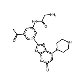 CC(=O)c1cc(NC(=O)CN)cc(-c2nn3c(N4CCNCC4)cc(=O)nc3s2)c1